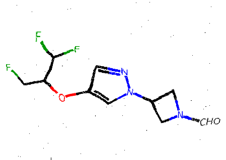 O=CN1CC(n2cc(OC(CF)C(F)F)cn2)C1